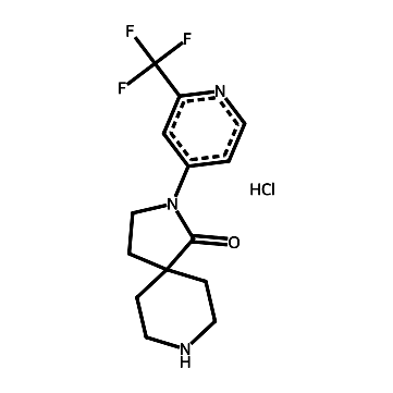 Cl.O=C1N(c2ccnc(C(F)(F)F)c2)CCC12CCNCC2